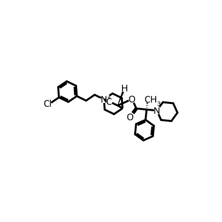 C[C@@](C(=O)O[C@H]1C[N+]2(CCc3cccc(Cl)c3)CCC1CC2)(c1ccccc1)N1CCCCC1